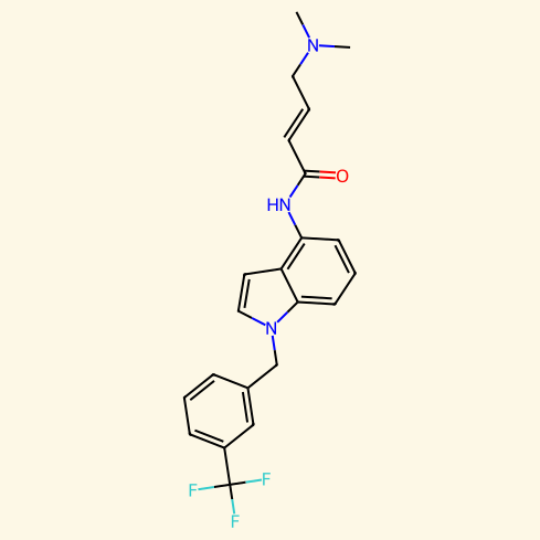 CN(C)CC=CC(=O)Nc1cccc2c1ccn2Cc1cccc(C(F)(F)F)c1